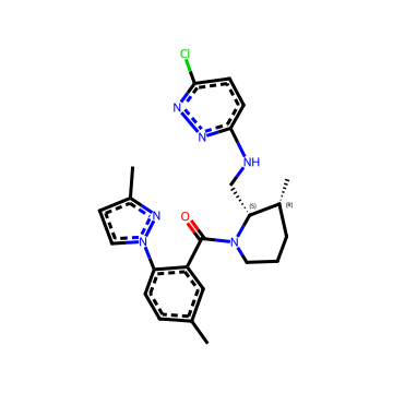 Cc1ccc(-n2ccc(C)n2)c(C(=O)N2CCC[C@@H](C)[C@H]2CNc2ccc(Cl)nn2)c1